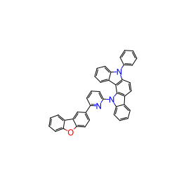 c1ccc(-n2c3ccccc3c3c2ccc2c4ccccc4n(-c4cccc(-c5ccc6oc7ccccc7c6c5)n4)c23)cc1